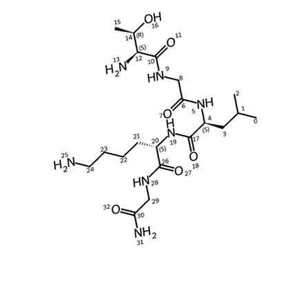 CC(C)C[C@H](NC(=O)CNC(=O)[C@@H](N)[C@@H](C)O)C(=O)N[C@@H](CCCCN)C(=O)NCC(N)=O